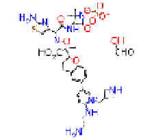 CC(O/N=C(\C(=O)NC1C(=O)N(OS(=O)(=O)[O-])C1(C)C)c1csc(N)n1)(C(=O)O)C1CCc2cc(-c3ccc(NCCN)[n+](CC4CNC4)c3)ccc2O1.O=CO